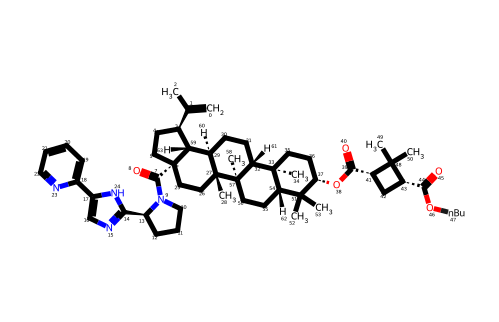 C=C(C)[C@@H]1CC[C@]2(C(=O)N3CCC[C@H]3c3ncc(-c4ccccn4)[nH]3)CC[C@]3(C)[C@H](CC[C@@H]4[C@@]5(C)CC[C@H](OC(=O)[C@H]6C[C@@H](C(=O)OCCCC)C6(C)C)C(C)(C)[C@@H]5CC[C@]43C)[C@@H]12